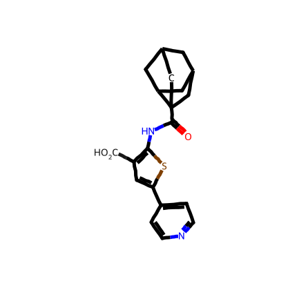 O=C(O)c1cc(-c2ccncc2)sc1NC(=O)C12CC3CC(CC1C3)C2